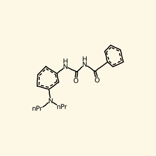 CCCN(CCC)c1cccc(NC(=O)NC(=O)c2ccccc2)c1